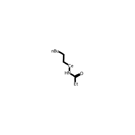 CCCCC[CH2][Ce][NH]C(=O)CC